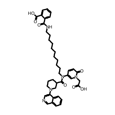 O=C(O)Cn1cc(N(CCCCCCCCCCCNC(=O)c2ccccc2C(=O)O)C(=O)C2CCCN(c3cncc4ccccc34)C2)ccc1=O